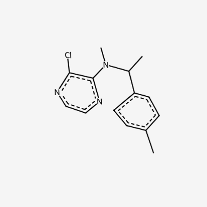 Cc1ccc(C(C)N(C)c2nccnc2Cl)cc1